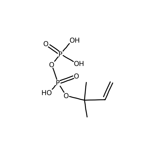 C=CC(C)(C)OP(=O)(O)OP(=O)(O)O